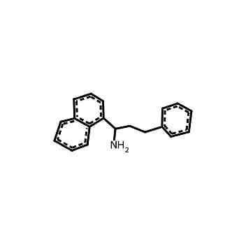 NC(CCc1ccccc1)c1cccc2ccccc12